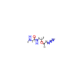 CNCC(=O)NCC(C)OC(C)CN=[N+]=[N-]